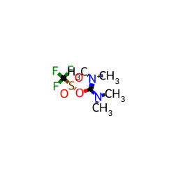 CN(C)C(OS(=O)(=O)C(F)(F)F)=[N+](C)C